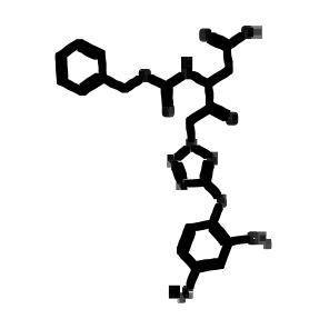 Cc1ccc(Sc2nnn(CC(=O)C(CC(=O)O)NC(=O)OCc3ccccc3)n2)c(C)c1